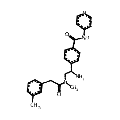 Cc1cccc(CC(=O)N(C)CC(N)c2ccc(C(=O)Nc3ccncc3)cc2)c1